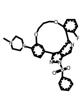 CN1CCN(c2ccc3cc2OCCCOc2cccc(F)c2-c2cc4c-3nn(S(=O)(=O)c3ccccc3)c4cn2)CC1